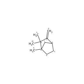 C=C1C2CCC(C)(C2)C1(C)C